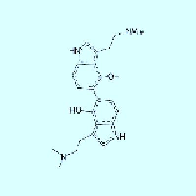 CNCCc1c[nH]c2ccc(-c3ccc4[nH]cc(CCN(C)C)c4c3O)c(O)c12